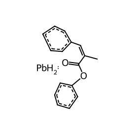 CC(=Cc1ccccc1)C(=O)Oc1ccccc1.[PbH2]